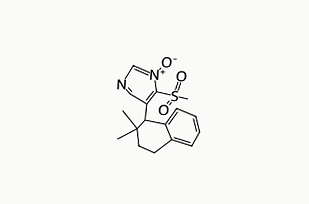 CC1(C)CCc2ccccc2C1c1cnc[n+]([O-])c1S(C)(=O)=O